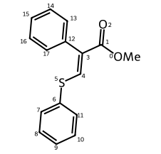 COC(=O)/C(=C/Sc1ccccc1)c1ccccc1